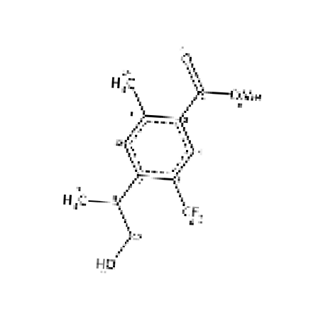 COC(=O)c1cc(C(F)(F)F)c(C(C)CO)cc1C